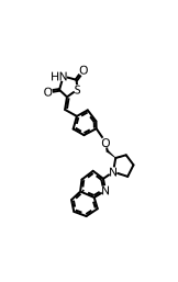 O=C1NC(=O)C(=Cc2ccc(OC[C@H]3CCCN3c3ccc4ccccc4n3)cc2)S1